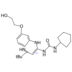 CC(C)(C)C(=N)/C=C(/NC(=O)NC1CCCCC1)Nc1cccc(OCCO)c1